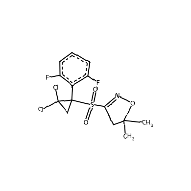 CC1(C)CC(S(=O)(=O)C2(c3c(F)cccc3F)CC2(Cl)Cl)=NO1